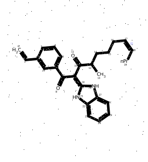 C=Cc1cccc(C(=O)C(C(=O)C(C)CCC/C=C\CCC)=C2Nc3ccccc3N2)c1